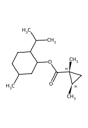 CC1CCC(C(C)C)C(OC(=O)[C@]2(C)C[C@H]2C)C1